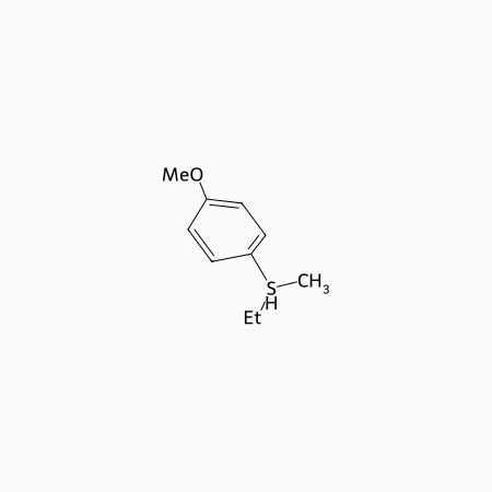 CC[SH](C)c1ccc(OC)cc1